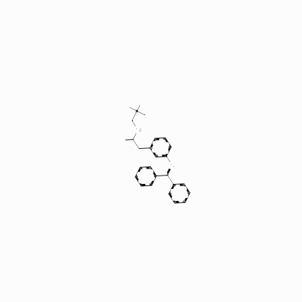 CC(Cc1cccc(N=C(c2ccccc2)c2ccccc2)c1)NCC(F)(F)F